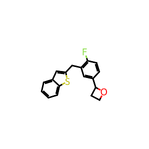 Fc1ccc(C2CCO2)cc1Cc1cc2ccccc2s1